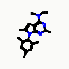 CCCCN(CC)c1nc(C)nc2c1cc(C)n2-c1c(C)cc(C)cc1C